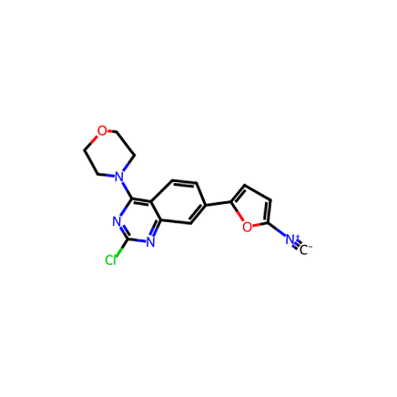 [C-]#[N+]c1ccc(-c2ccc3c(N4CCOCC4)nc(Cl)nc3c2)o1